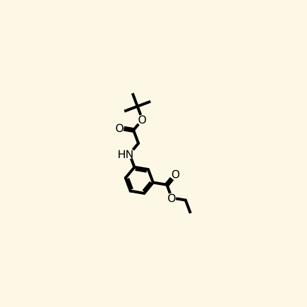 CCOC(=O)c1cccc(NCC(=O)OC(C)(C)C)c1